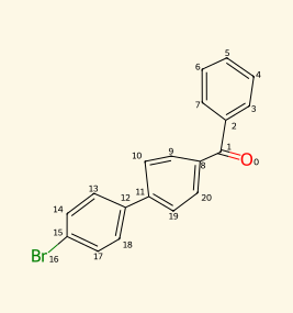 O=C(c1ccccc1)c1ccc(-c2ccc(Br)cc2)cc1